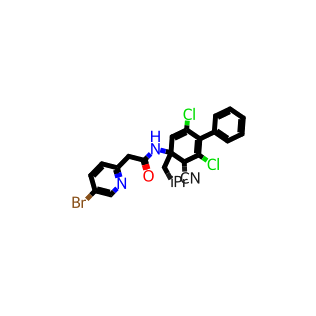 CC(C)CC1(NC(=O)Cc2ccc(Br)cn2)C=C(Cl)C(c2ccccc2)=C(Cl)C1C#N